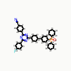 N#Cc1ccc(-c2nc(-c3ccc(F)cc3)nc(-c3ccc(-c4ccc(P(=O)(c5ccccc5)c5ccccc5)cc4)cc3)n2)cc1